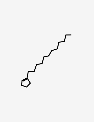 [CH2]CCCCCCCCCCCC1=CCCC1